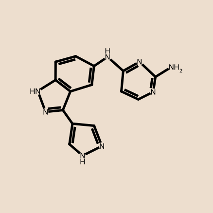 Nc1nccc(Nc2ccc3[nH]nc(-c4cn[nH]c4)c3c2)n1